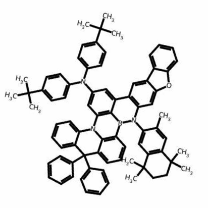 Cc1cc2c(cc1N1B3c4cccc5c4N(c4ccccc4C5(c4ccccc4)c4ccccc4)c4cc(N(c5ccc(C(C)(C)C)cc5)c5ccc(C(C)(C)C)cc5)cc(c43)-c3cc4c(cc31)oc1ccccc14)C(C)(C)CCC2(C)C